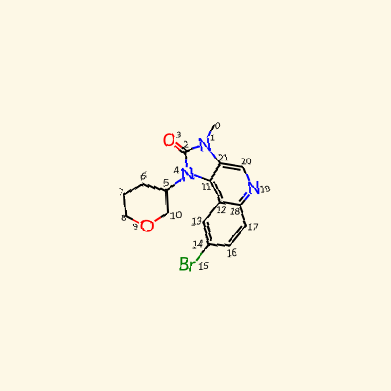 Cn1c(=O)n(C2CCCOC2)c2c3cc(Br)ccc3ncc21